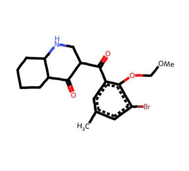 COCOc1c(Br)cc(C)cc1C(=O)C1CNC2CCCCC2C1=O